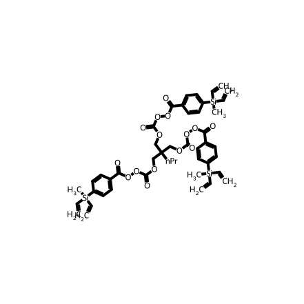 C=C[Si](C)(C=C)c1ccc(C(=O)OOC(=O)OCC(CCC)(COC(=O)OOC(=O)c2ccc([Si](C)(C=C)C=C)cc2)COC(=O)OOC(=O)c2ccc([Si](C)(C=C)C=C)cc2)cc1